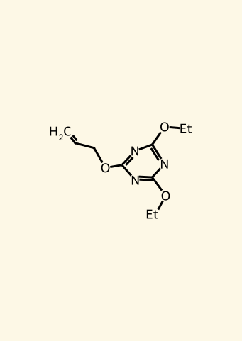 C=CCOc1nc(OCC)nc(OCC)n1